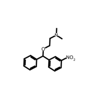 CN(C)CCOC(c1ccccc1)c1cccc([N+](=O)[O-])c1